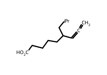 C=C=CC(CCCCC(=O)O)CC(C)C